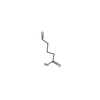 O=[C]CCC[C](=O)[Na]